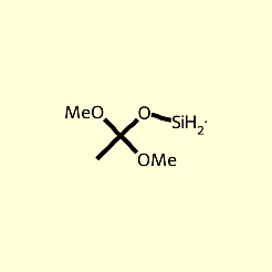 COC(C)(OC)O[SiH2]